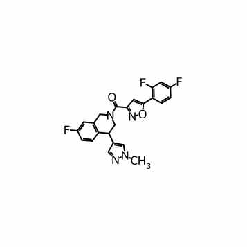 Cn1cc(C2CN(C(=O)c3cc(-c4ccc(F)cc4F)on3)Cc3cc(F)ccc32)cn1